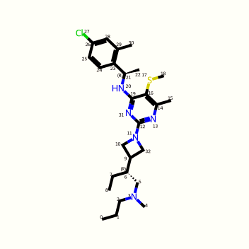 CCCN(C)C[C@H](CC)C1CN(c2nc(C)c(SC)c(N[C@H](C)c3ccc(Cl)cc3C)n2)C1